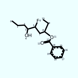 CCCC(O)C(F)CC(CC)OC(=O)c1cc[c]cc1